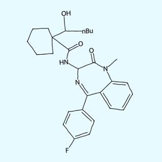 CCCCC(O)C1(C(=O)NC2N=C(c3ccc(F)cc3)c3ccccc3N(C)C2=O)CCCCC1